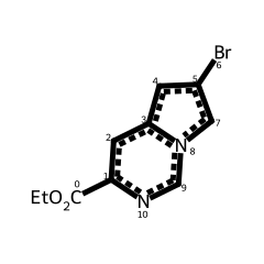 CCOC(=O)c1cc2cc(Br)cn2cn1